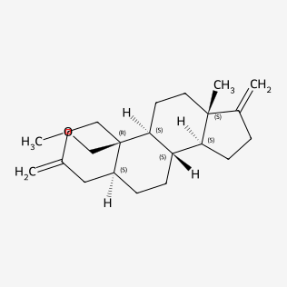 C=C1CC[C@@]2(COC)[C@@H](CC[C@@H]3[C@@H]2CC[C@]2(C)C(=C)CC[C@@H]32)C1